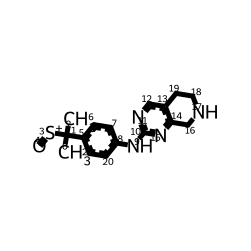 CC(C)([S+]=O)c1ccc(Nc2ncc3c(n2)CNCC3)cc1